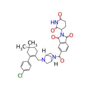 CC1(C)CCC(CN2C[C@H]3C[C@@H]2CN3C(=O)c2ccc3c(c2)C(=O)N(C2CCC(=O)NC2=O)C3=O)=C(c2ccc(Cl)cc2)C1